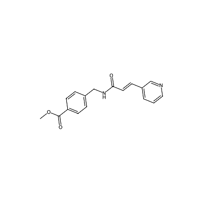 COC(=O)c1ccc(CNC(=O)/C=C/c2cccnc2)cc1